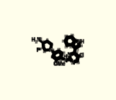 COc1cc(N2CC[C@H](N)[C@@H](F)C2)ccc1Nc1ncc(Cl)c(-c2c[nH]c3ccccc23)n1